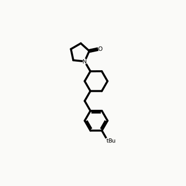 CC(C)(C)c1ccc(CC2CCCC(N3CCCC3=O)C2)cc1